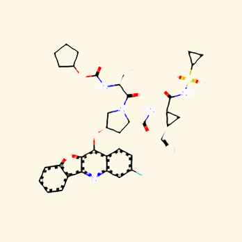 C=C[C@@H]1C[C@]1(NC(=O)[C@@H]1C[C@@H](Oc2c3ccc(F)cc3nc3c2oc2ccccc23)CN1C(=O)[C@@H](NC(=O)OC1CCCC1)C(C)C)C(=O)NS(=O)(=O)C1CC1